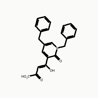 O=C(O)C(=O)C=C(O)c1cc(Cc2ccccc2)cn(Cc2ccccc2)c1=O